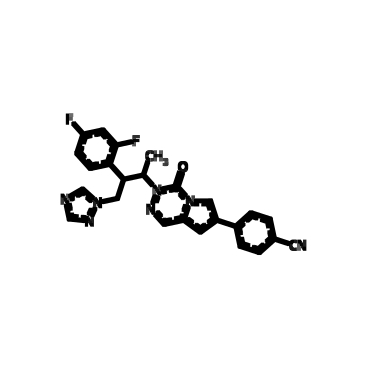 CC(C(Cn1cncn1)c1ccc(F)cc1F)n1ncc2cc(-c3ccc(C#N)cc3)cn2c1=O